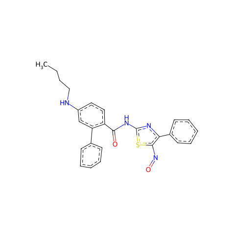 CCCCNc1ccc(C(=O)Nc2nc(-c3ccccc3)c(N=O)s2)c(-c2ccccc2)c1